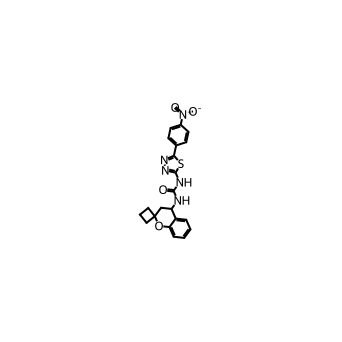 O=C(Nc1nnc(-c2ccc([N+](=O)[O-])cc2)s1)NC1CC2(CCC2)Oc2ccccc21